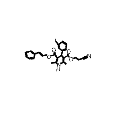 CC1=C(C(=O)OCC=Cc2ccccc2)C(c2cccc(I)c2)C(C(=O)OCCC#N)=C(C)N1